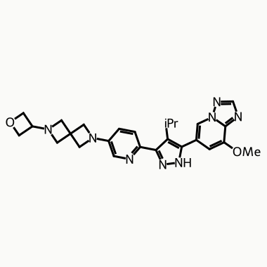 COc1cc(-c2[nH]nc(-c3ccc(N4CC5(C4)CN(C4COC4)C5)cn3)c2C(C)C)cn2ncnc12